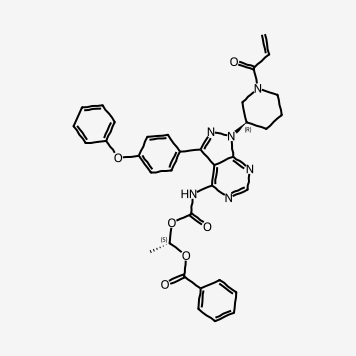 C=CC(=O)N1CCC[C@@H](n2nc(-c3ccc(Oc4ccccc4)cc3)c3c(NC(=O)O[C@@H](C)OC(=O)c4ccccc4)ncnc32)C1